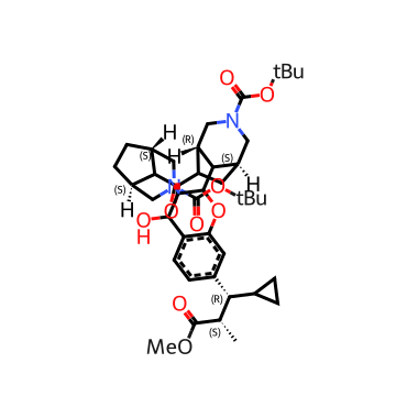 COC(=O)[C@@H](C)[C@H](c1ccc2c(c1)OC(C1[C@@H]3CC(C(=O)C4[C@@H]5CC[C@@H]4CN(C(=O)OC(C)(C)C)C5)[C@@H]1CN(C(=O)OC(C)(C)C)C3)CC2O)C1CC1